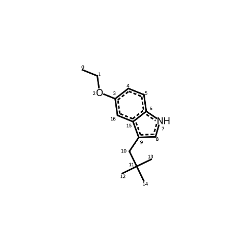 CCOc1ccc2[nH]cc(CC(C)(C)C)c2c1